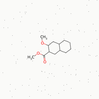 COC(=O)C1CC2CCCCC2CC1OC